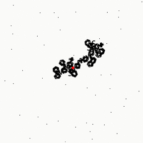 CC(C)(C)c1cc2c3c(c1)N(c1cccc4ccccc14)c1cc(N(c4ccc(C(C)(C)Cc5cccc(N6c7cc(C(C)(C)C)cc8c7B(c7ccc(-n9c%10ccccc%10c%10ccccc%109)cc7N8c7ccccc7)c7sc8c(c76)CCCC8)c5)cc4)c4cccc5ccccc45)ccc1B3c1sc3c(c1S2)CCCC3